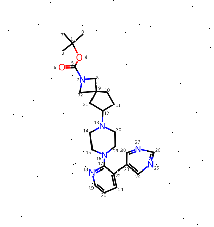 CC(C)(C)OC(=O)N1CC2(CCC(N3CCN(c4ncccc4-c4cncnc4)CC3)C2)C1